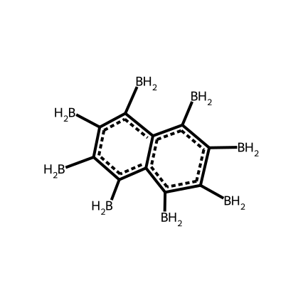 Bc1c(B)c(B)c2c(B)c(B)c(B)c(B)c2c1B